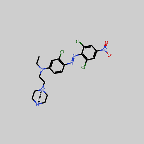 CCN(CC[N+]12CCN(CC1)CC2)c1ccc(/N=N/c2c(Cl)cc([N+](=O)[O-])cc2Cl)c(Cl)c1